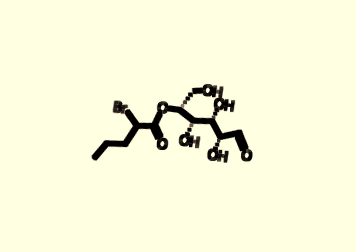 CCCC(Br)C(=O)O[C@H](CO)[C@@H](O)[C@H](O)[C@@H](O)C=O